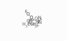 Cc1nc2ccncc2n1CC(=O)c1cn(C(=O)N(C)C)c2cc(-c3ccc(F)cc3)ccc12